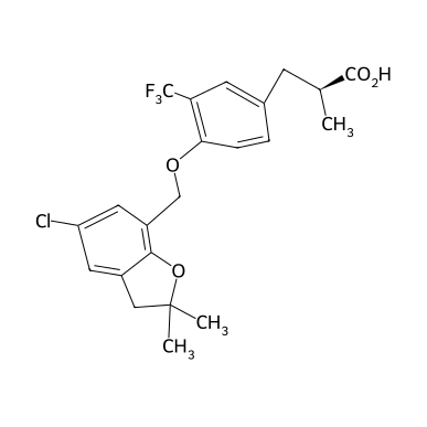 C[C@@H](Cc1ccc(OCc2cc(Cl)cc3c2OC(C)(C)C3)c(C(F)(F)F)c1)C(=O)O